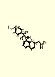 CCNCc1ccc2cccc(NS(=O)(=O)c3ccc(C(F)(F)F)cc3)c2n1